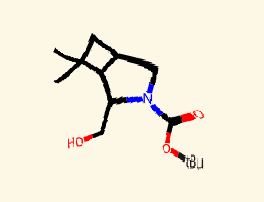 CC(C)(C)OC(=O)N1CC2CC(C)(C)C2C1CO